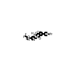 CC(C)N1CCC(c2ccc3c(c2)C(=O)N(Cc2ccc(-c4nnc(C(F)F)o4)cn2)C(=O)C3(C)C)CC1